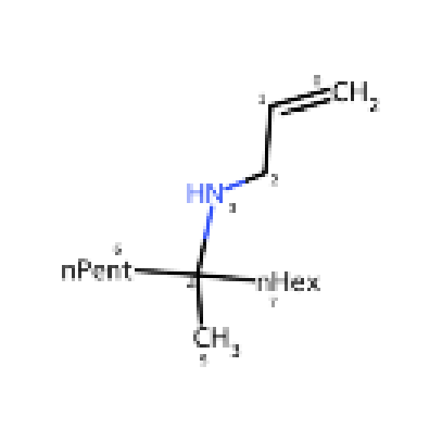 C=CCNC(C)(CCCCC)CCCCCC